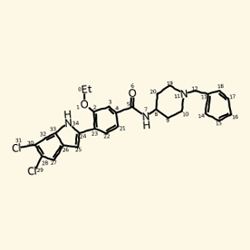 CCOc1cc(C(=O)NC2CCN(Cc3ccccc3)CC2)ccc1-c1cc2cc(Cl)c(Cl)cc2[nH]1